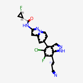 N#C/C=C/c1c(F)c(Cl)c(-c2ccn3nc(NC(=O)[C@@H]4C[C@@H]4F)cc3c2)c2cn[nH]c12